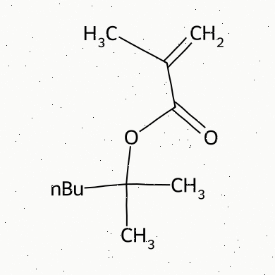 C=C(C)C(=O)OC(C)(C)CCCC